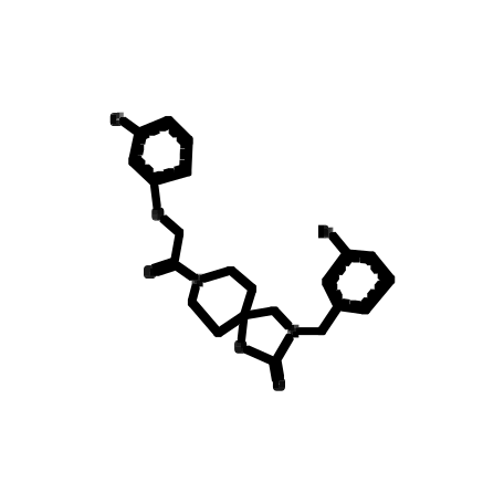 O=C(COc1cccc(Cl)c1)N1CCC2(CC1)CN(Cc1cccc(Br)c1)C(=O)O2